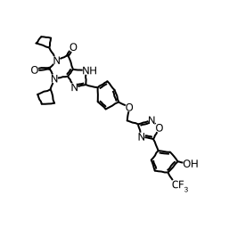 O=c1c2[nH]c(-c3ccc(OCc4noc(-c5ccc(C(F)(F)F)c(O)c5)n4)cc3)nc2n(C2CCC2)c(=O)n1C1CCC1